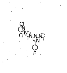 CC1CN(c2nc(Cl)ccc2Cl)CCN1c1cc(-c2ccc(F)cc2)nc(N2CCCC2C)n1